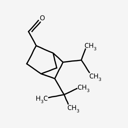 CC(C)C1C2CC(CC2C=O)C1C(C)(C)C